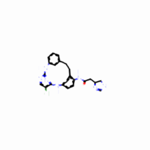 O=C(CC1CNC=N1)Nc1ccc2cc1CCc1cccc(c1)Nc1ncc(Cl)c(n1)N2